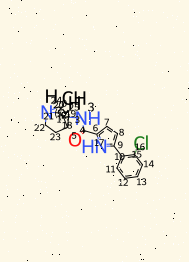 C[C@H]1[C@H](NC(=O)c2ccc(-c3ccccc3Cl)[nH]2)C2CCN1CC2